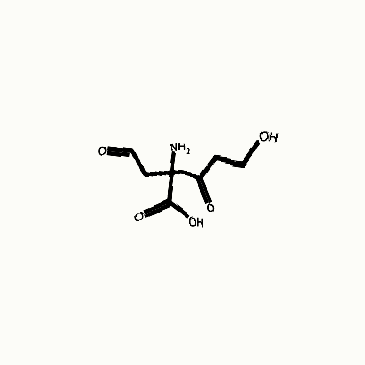 NC(CC=O)(C(=O)O)C(=O)CCO